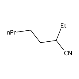 [CH2]CCCCC(C#N)CC